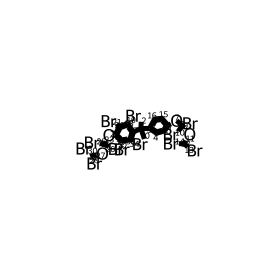 CC(C)(c1ccc(OC(Br)(Br)OC(Br)Br)cc1)c1c(Br)c(Br)c(OC(Br)(Br)OC(Br)Br)c(Br)c1Br